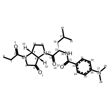 CCC(=O)N1CC(=O)[C@@H]2[C@H]1CCN2C(=O)[C@H](CC(C)C)NC(=O)c1ccc(N(C)C)cc1